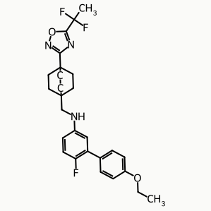 CCOc1ccc(-c2cc(NCC34CCC(c5noc(C(C)(F)F)n5)(CC3)CC4)ccc2F)cc1